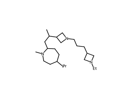 CCN1CC(CCCN2CC(C(C)CC3CCC(C(C)C)CCN3C)C2)C1